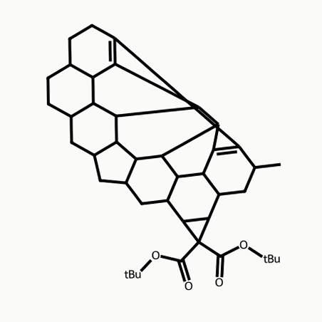 CC1CC2C3C4=C1C1=C5C6C(CC1)CCC1CC7CC8CC(C3C3C4C5C(C16)C7C83)C1C2C1(C(=O)OC(C)(C)C)C(=O)OC(C)(C)C